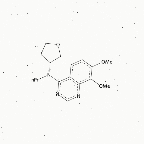 CCCN(c1ncnc2c(OC)c(OC)ccc12)[C@@H]1CCOC1